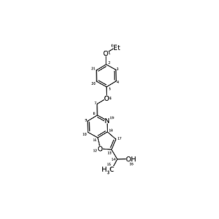 CCOc1ccc(OCc2ccc3oc(C(C)O)cc3n2)cc1